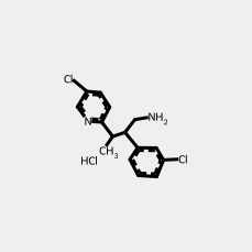 CC(c1ccc(Cl)cn1)C(CN)c1cccc(Cl)c1.Cl